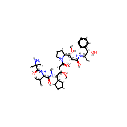 CO[C@H](CC(=O)N1CCCC1[C@H](OC)[C@@H](C)C(=O)N[C@H](C)[C@@H](O)c1ccccc1)[C@H](C1CCCC1)N(C)C(=O)C(NC(=O)C(C)(C)N)C(C)C